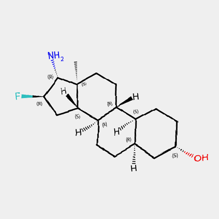 C[C@]12CC[C@H]3[C@@H](CC[C@@H]4C[C@@H](O)CC[C@@H]43)[C@@H]1C[C@@H](F)[C@@H]2N